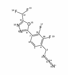 [N-]=[N+]=NCc1ccc(-c2nnc(C(F)F)o2)c(F)c1F